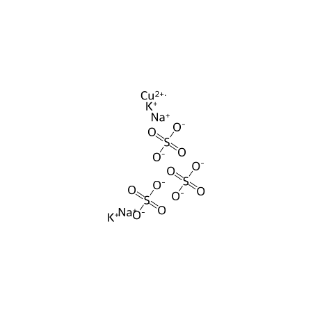 O=S(=O)([O-])[O-].O=S(=O)([O-])[O-].O=S(=O)([O-])[O-].[Cu+2].[K+].[K+].[Na+].[Na+]